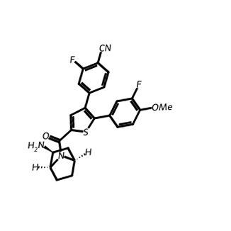 COc1ccc(-c2sc(C(=O)N3[C@@H]4CC[C@H]3[C@@H](N)C4)cc2-c2ccc(C#N)c(F)c2)cc1F